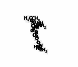 CCN(C(=O)[C@@H]1CCN(CC(=O)N2CCC(c3ccc(C(=N)/N=C\NC)cc3)CC2)C1)c1ccc(N)c(C(=N)c2ccc(OC(C)C)nc2)n1